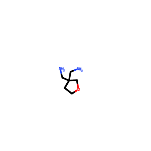 NCC1(CN)CCOC1